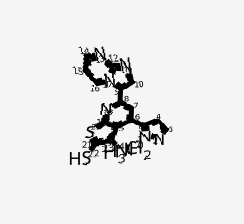 Cn1nccc1-c1cc(-c2cnc3ncccn23)nc2sc(S)c(N)c12